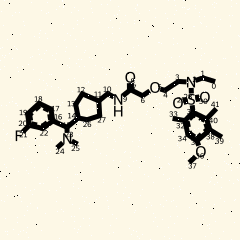 CCN(CCOCC(=O)NCC1CCC(C(c2cccc(F)c2)N(C)C)CC1)S(=O)(=O)c1c(C)cc(OC)c(C)c1C